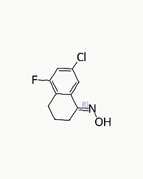 O/N=C1\CCCc2c(F)cc(Cl)cc21